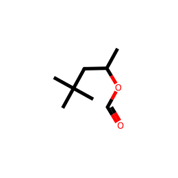 CC(CC(C)(C)C)OC=O